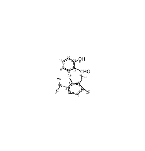 Fc1ccc(N(F)F)c(F)c1F.O=Cc1ccccc1O